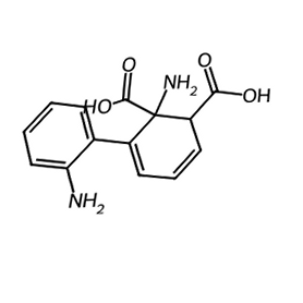 Nc1ccccc1C1=CC=CC(C(=O)O)C1(N)C(=O)O